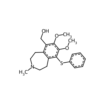 COc1c(CO)c2c(c(Sc3ccccc3)c1OC)CCN(C)CC2